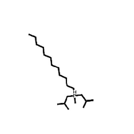 CCCCCCCCCCCC[PH](C)(CC(C)C)CC(C)C